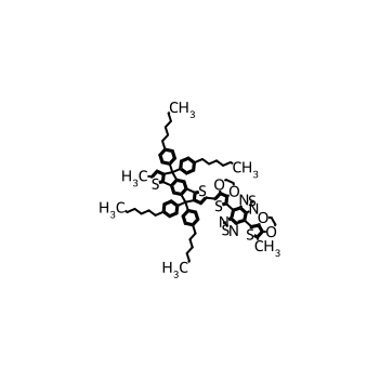 CCCCCCc1ccc(C2(c3ccc(CCCCCC)cc3)c3cc4c(cc3-c3sc(C)cc32)C(c2ccc(CCCCCC)cc2)(c2ccc(CCCCCC)cc2)c2cc(-c3sc(-c5c6c(c(-c7sc(C)c8c7OCCO8)c7nsnc57)N=S=N6)c5c3OCCO5)sc2-4)cc1